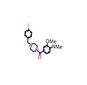 CNc1ccc(C(=O)N2CCN(Cc3ccc(F)cc3)CC2)cc1OC